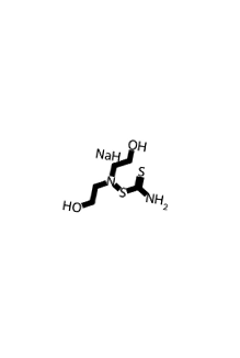 NC(=S)SN(CCO)CCO.[NaH]